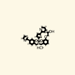 Cl.O=C(O)COc1cccc(CN(Cc2ccc(-c3nccs3)cc2)S(=O)(=O)c2ccc(-c3ccccn3)s2)c1